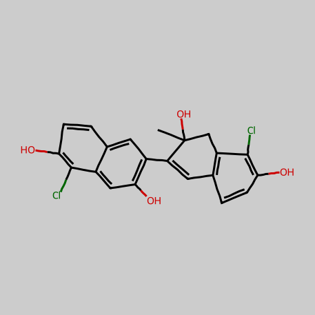 CC1(O)Cc2c(ccc(O)c2Cl)C=C1c1cc2ccc(O)c(Cl)c2cc1O